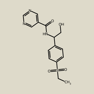 CCS(=O)(=O)c1ccc(C(CO)NC(=O)c2cncnc2)cc1